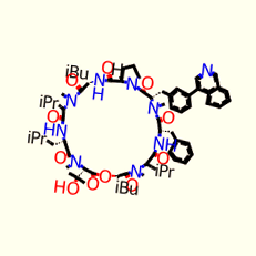 CC[C@H](C)[C@@H]1NC(=O)[C@@H]2CCCN2C(=O)[C@H](Cc2cccc(-c3cncc4ccccc34)c2)N(C)C(=O)[C@H](Cc2ccccc2)NC(=O)C(C(C)C)N(C)C(=O)[C@@H]([C@@H](C)CC)OC(=O)[C@H](C(C)(C)O)N(C)C(=O)[C@H](CC(C)C)NC(=O)C(C(C)C)N(C)C1=O